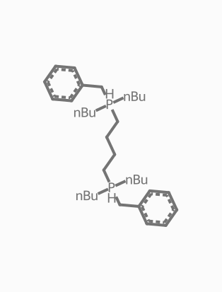 CCCC[PH](CCCC)(CCCC[PH](CCCC)(CCCC)Cc1ccccc1)Cc1ccccc1